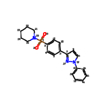 O=S(=O)(c1ccc(-c2[c]cn(-c3ccccc3)n2)cc1)N1CCCCC1